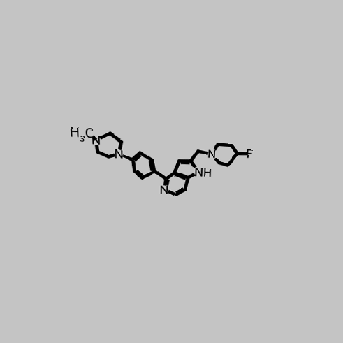 CN1CCN(c2ccc(-c3nccc4[nH]c(CN5CCC(F)CC5)cc34)cc2)CC1